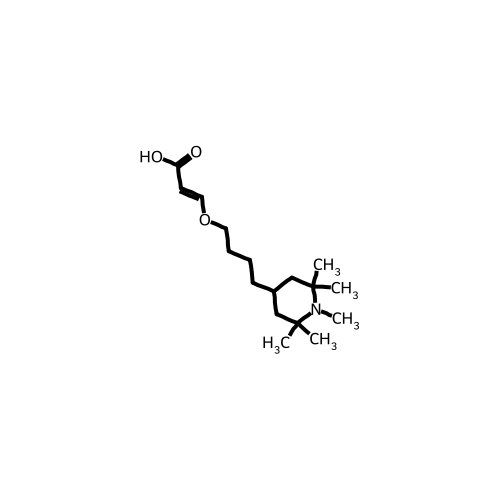 CN1C(C)(C)CC(CCCCOC=CC(=O)O)CC1(C)C